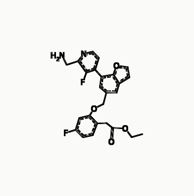 CCOC(=O)Cc1ccc(F)cc1OCc1cc(-c2ccnc(CN)c2F)c2occc2c1